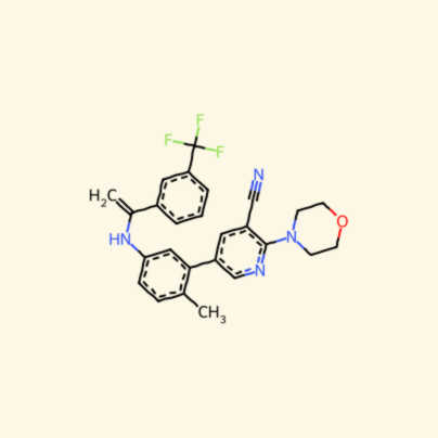 C=C(Nc1ccc(C)c(-c2cnc(N3CCOCC3)c(C#N)c2)c1)c1cccc(C(F)(F)F)c1